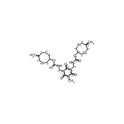 C=C1CSCC(OC(=O)NCn2c(=O)n(C)c(=O)n(CNC(=O)OC3CSCC(=C)CSC3)c2=O)CSC1